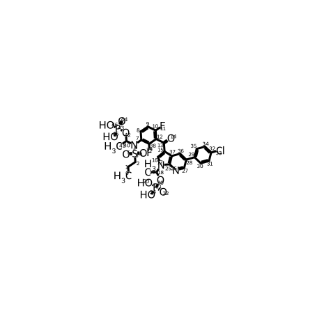 CCCS(=O)(=O)N(c1ccc(F)c(C(=O)c2cn(C(C)OP(=O)(O)O)c3ncc(-c4ccc(Cl)cc4)cc23)c1F)C(C)OP(=O)(O)O